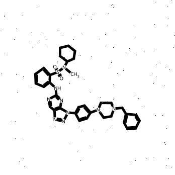 CN(C1CCCCC1)S(=O)(=O)c1ccccc1Nc1ncc2nnn(-c3ccc(N4CCN(Cc5ccccc5)CC4)cc3)c2n1